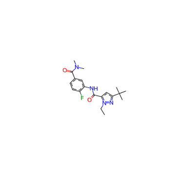 CCn1nc(C(C)(C)C)cc1C(=O)Nc1cc(C(=O)N(C)C)ccc1F